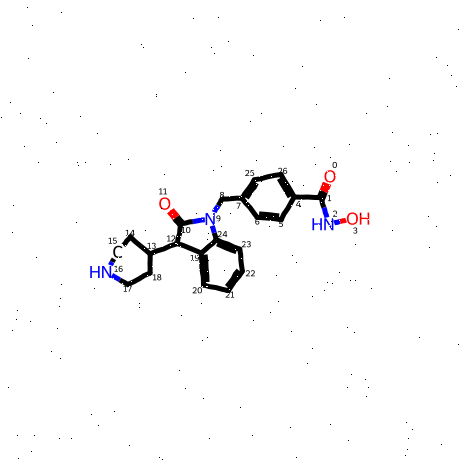 O=C(NO)c1ccc(CN2C(=O)C(C3CCNCC3)c3ccccc32)cc1